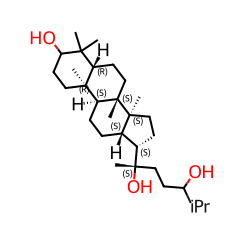 CC(C)C(O)CC[C@](C)(O)[C@H]1CC[C@@]2(C)[C@H]1CC[C@H]1[C@@]3(C)CCC(O)C(C)(C)[C@@H]3CC[C@@]12C